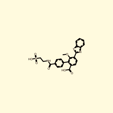 COc1c(-c2nc3ccccc3s2)c[c]c(C(=O)O)c1-c1ccc(C(=O)NCCS(=O)(=O)O)cc1